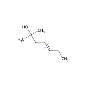 [CH2]C/C=C/CC(C)(C)O